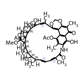 COC(=O)[C@@H]1[C@H](O)[C@H](C)[C@H](O)[C@H](C)/C=C/C=C(/C)C(=O)Nc2c(C)c(OC(C)=O)c3c(c2O)C(=O)C(C)=C2OCOC(=C23)/C(C)=C\[C@@](C)(O)[C@H](O)[C@@H](C)[C@H]1OC(C)=O